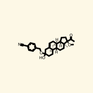 CO[C@]1(C(C)=O)CC[C@H]2[C@@H]3CC=C4CC(O)(OCc5ccc(C#N)cc5)CC[C@]4(C)[C@H]3CC[C@@]21C